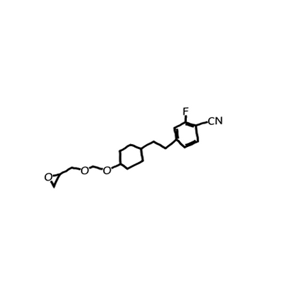 N#Cc1ccc(CCC2CCC(OCOCC3CO3)CC2)cc1F